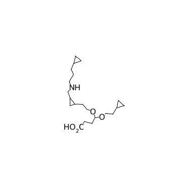 O=C(O)CCC(OCCC1CC1)OCCC1CC1CNCCCC1CC1